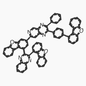 c1ccc(-c2nc3cnc(-c4cc(-c5nc6ccccc6nc5-c5cccc6oc7ccccc7c56)c5c(c4)oc4ccccc45)cc3nc2-c2ccc(-c3cccc4oc5ccccc5c34)cc2)cc1